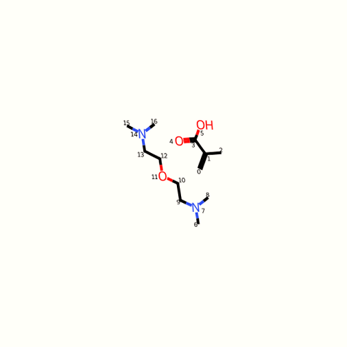 C=C(C)C(=O)O.CN(C)CCOCCN(C)C